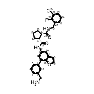 NCc1cccc(-c2cc(NC(=O)[C@@H]3CCC[C@H]3C(=O)NCc3cccc(Cl)c3F)cc3ccoc23)c1